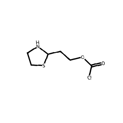 O=C(Cl)OCCC1NCCS1